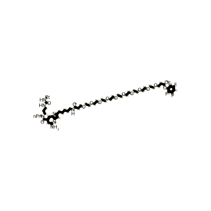 CCCN(CCCNC(=O)NCC)C(=O)C1=Cc2sc(CCCCCNC(=O)CCOCCOCCOCCOCCOCCOCCOCCOCCOCCOCCC(=O)Oc3c(F)c(F)cc(F)c3F)cc2N=C(N)C1